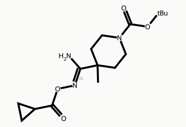 CC(C)(C)OC(=O)N1CCC(C)(/C(N)=N/OC(=O)C2CC2)CC1